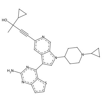 CC(O)(C#Cc1cc2c(-c3nc(N)nc4ccsc34)cn(C3CCN(C4CC4)CC3)c2cn1)C1CC1